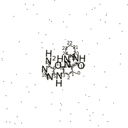 Cc1cc(Nc2cc(N)ncn2)c(=O)n2c1C(=O)NC1(CCCCC1)N2